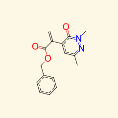 C=C(C(=O)OCc1ccccc1)c1cc(C)nn(C)c1=O